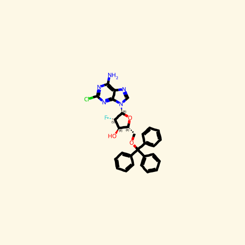 Nc1nc(Cl)nc2c1ncn2[C@@H]1O[C@H](COC(c2ccccc2)(c2ccccc2)c2ccccc2)[C@@H](O)[C@@H]1F